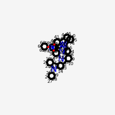 c1ccc(-c2cc(-c3cccc4c5ccc6c(c7ccccc7n6-c6ccccc6)c5n(-c5ccc6c(c5)c5c(ccc7c8ccccc8n(-c8ccccc8)c75)n6-c5ccccc5)c34)nc(-c3ccccc3)n2)cc1